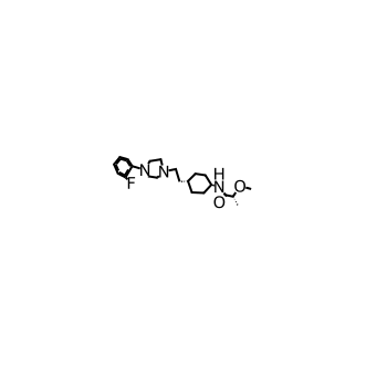 CO[C@H](C)C(=O)N[C@H]1CC[C@H](CCN2CCN(c3ccccc3F)CC2)CC1